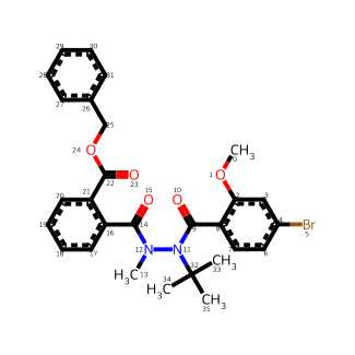 COc1cc(Br)ccc1C(=O)N(N(C)C(=O)c1ccccc1C(=O)OCc1ccccc1)C(C)(C)C